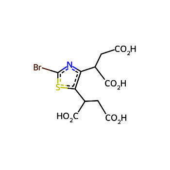 O=C(O)CC(C(=O)O)c1nc(Br)sc1C(CC(=O)O)C(=O)O